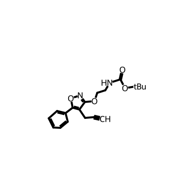 C#CCc1c(OCCNC(=O)OC(C)(C)C)noc1-c1ccccc1